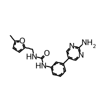 Cc1ccc(CNC(=O)Nc2cccc(-c3cnc(N)nc3)c2)o1